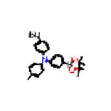 CCC(C)c1ccc(N(c2ccc(C)cc2)c2ccc(B3OC(C)(C)C(C)(C)O3)cc2)cc1